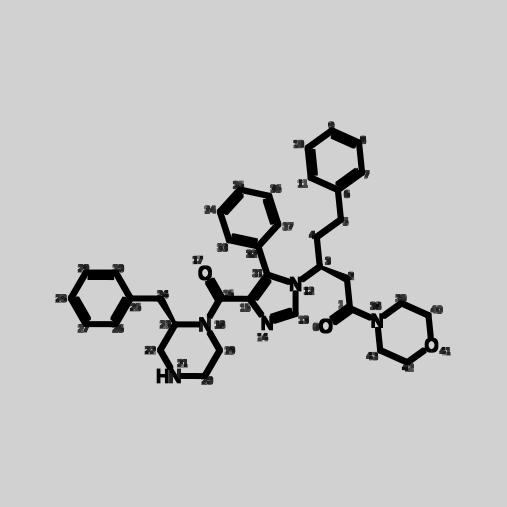 O=C(C[C@H](CCc1ccccc1)n1cnc(C(=O)N2CCNC[C@H]2Cc2ccccc2)c1-c1ccccc1)N1CCOCC1